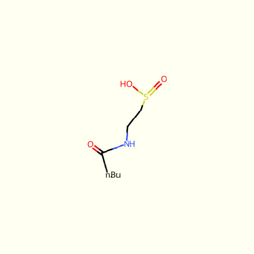 CCCCC(=O)NCCS(=O)O